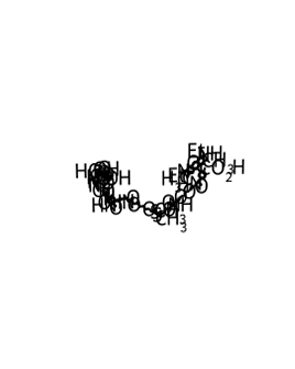 CC/N=c1/cc2oc3cc(NCC)c(C)cc3c(-c3cc(C(=O)NCCOCCOCCNC(=O)OCCC(C)(C)SSCOCCCCOC(=O)NCC#Cc4cn([C@H]5C[C@H](OCN=[N+]=[N-])[C@@H](COP(=O)(O)O[PH](=O)OP(=O)(O)O)O5)c(=O)[nH]c4=O)ccc3C(=O)O)c-2cc1C